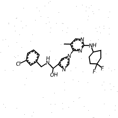 Cc1cnc(NC2CCC(F)(F)CC2)nc1-n1cnc(C(O)NCc2cccc(Cl)c2)c1